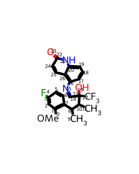 COc1cc(F)ccc1C(C)C(C)C(O)(C=Nc1cccc2[nH]c(=O)ccc12)C(F)(F)F